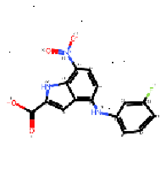 O=C(O)c1cc2c(Nc3cccc(F)c3)ccc([N+](=O)[O-])c2[nH]1